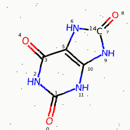 O=c1[nH]c(=O)c2[nH][14c](=O)[nH]c2[nH]1